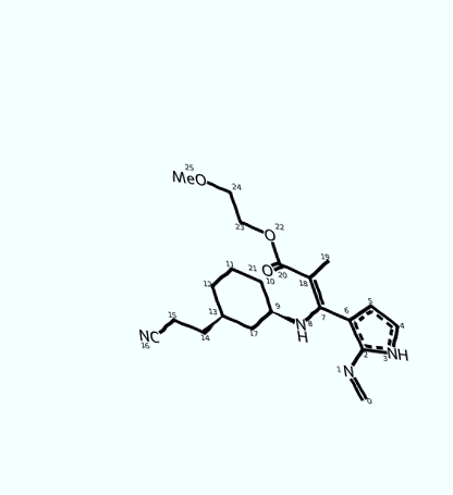 C=Nc1[nH]ccc1/C(N[C@@H]1CCC[C@H](CCC#N)C1)=C(\C)C(=O)OCCOC